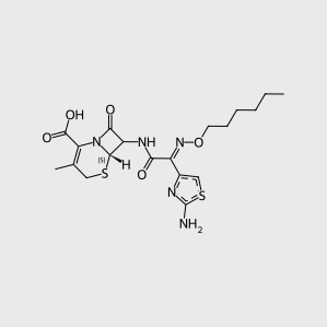 CCCCCCON=C(C(=O)NC1C(=O)N2C(C(=O)O)=C(C)CS[C@@H]12)c1csc(N)n1